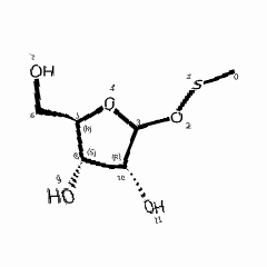 CSO[C]1O[C@H](CO)[C@@H](O)[C@H]1O